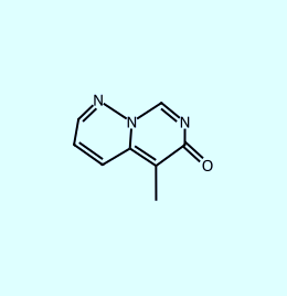 Cc1c(=O)ncn2ncccc12